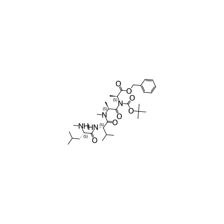 CN[C@@H](CC(C)C)C(=O)N[C@H](C(=O)N(C)[C@@H](C)C(=O)N(C(=O)OC(C)(C)C)[C@@H](C)C(=O)OCc1ccccc1)C(C)C